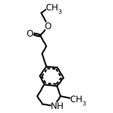 CCOC(=O)CCc1ccc2c(c1)CCNC2C